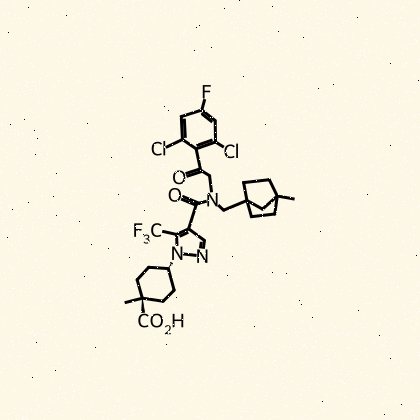 CC12CCC(CN(CC(=O)c3c(Cl)cc(F)cc3Cl)C(=O)c3cnn([C@H]4CC[C@](C)(C(=O)O)CC4)c3C(F)(F)F)(CC1)C2